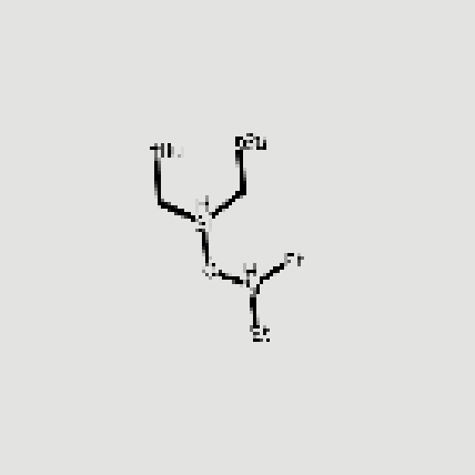 CC[SiH](CC)O[SiH](CC(C)(C)C)CC(C)(C)C